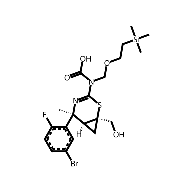 C[C@]1(c2cc(Br)ccc2F)N=C(N(COCC[Si](C)(C)C)C(=O)O)S[C@@]2(CO)C[C@H]21